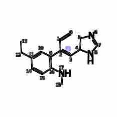 C=C/C(=C\C1CN=CN1)c1cc(CC)ccc1NC